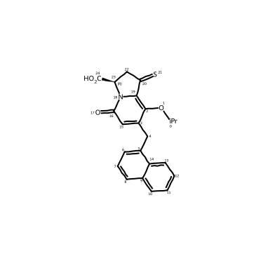 CC(C)Oc1c(Cc2cccc3ccccc23)cc(=O)n2c1C(=S)C[C@@H]2C(=O)O